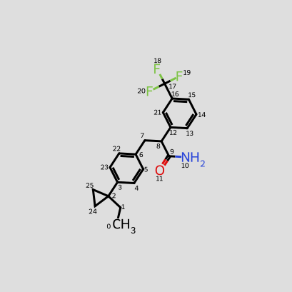 CCC1(c2ccc(CC(C(N)=O)c3cccc(C(F)(F)F)c3)cc2)CC1